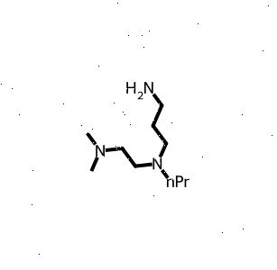 CCCN(CCCN)CCN(C)C